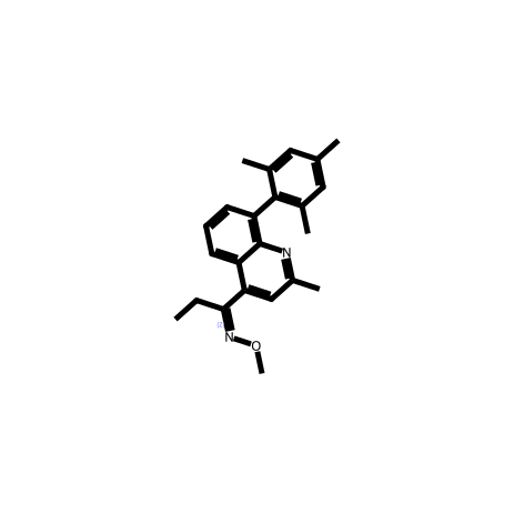 CC/C(=N/OC)c1cc(C)nc2c(-c3c(C)cc(C)cc3C)cccc12